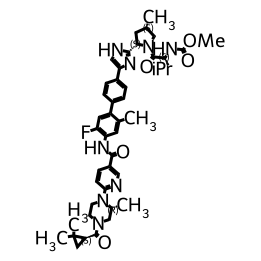 COC(=O)N[C@H](C(=O)N1C[C@@H](C)C[C@H]1c1nc(-c2ccc(-c3cc(F)c(NC(=O)c4ccc(N5CCN(C(=O)[C@H]6CC6(C)C)C[C@H]5C)nc4)cc3C)cc2)c[nH]1)C(C)C